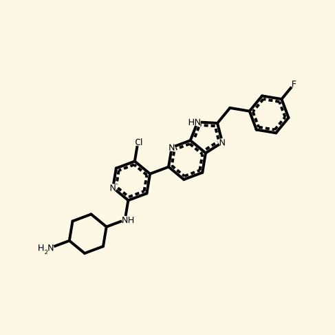 NC1CCC(Nc2cc(-c3ccc4nc(Cc5cccc(F)c5)[nH]c4n3)c(Cl)cn2)CC1